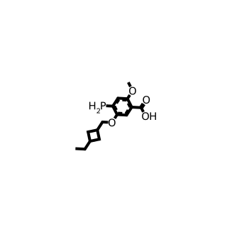 CCC1CC(COc2cc(C(=O)O)c(OC)cc2P)C1